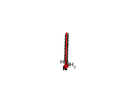 CCCOCCOCCOCCOCCOCCOCCOCCOCCOCCOCCOCCOCCOCCOCCOCCOCCOCCNC(=O)CCCCC[n+]1c(-c2ccccc2)c2cc(N=[N+]=[N-])ccc2c2ccc(N)cc21